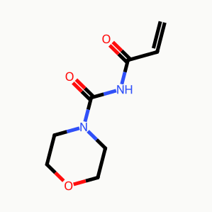 C=CC(=O)NC(=O)N1CCOCC1